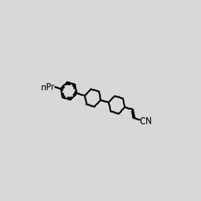 CCCc1ccc(C2CCC(C3CCC(C=CC#N)CC3)CC2)cc1